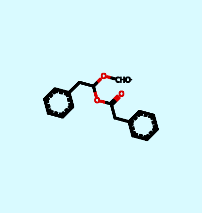 O=[C]OC(Cc1ccccc1)OC(=O)Cc1ccccc1